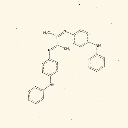 CC(=N/c1ccc(Nc2ccccc2)cc1)/C(C)=N/c1ccc(Nc2ccccc2)cc1